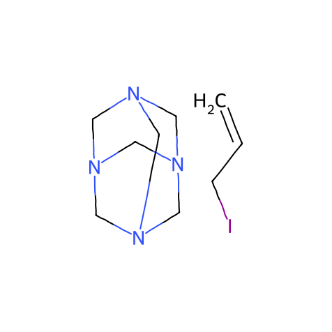 C1N2CN3CN1CN(C2)C3.C=CCI